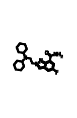 NC(=O)c1cc(F)cc2cn(CCN(C3CCCCC3)C3CCCCC3)nc12